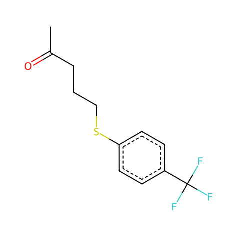 CC(=O)CCCSc1ccc(C(F)(F)F)cc1